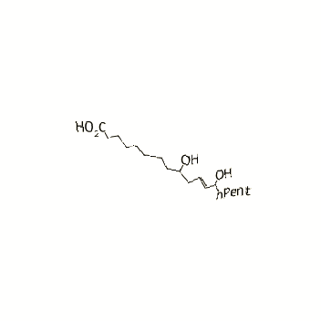 CCCCCC(O)/C=C/CC(O)CCCCCCCC(=O)O